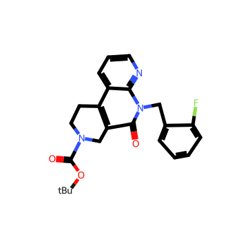 CC(C)(C)OC(=O)N1CCc2c(c(=O)n(Cc3ccccc3F)c3ncccc23)C1